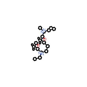 c1ccc(-c2cccc(-c3nc(-c4cccc(-c5cccc(-c6ccc7c(c6)Oc6cc(-c8cc(-c9ccc%10c(ccc%11ccccc%11%10)c9)nc(-c9ccccc9)n8)ccc6C76c7ccccc7-c7ccccc76)c5)c4)cc(-c4ccc5c(c4)Oc4ccccc4C54c5ccccc5-c5ccccc54)n3)c2)cc1